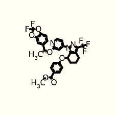 COC(=O)c1ccc(OC2CCCc3c(C(F)(F)F)nn(-c4ccnc(O[C@H](C)c5ccc6c(c5)OC(F)(F)O6)c4)c32)cc1